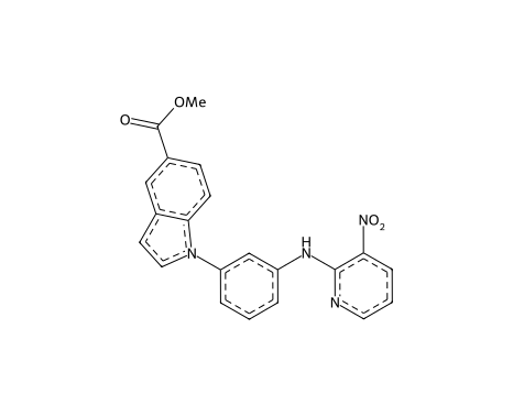 COC(=O)c1ccc2c(ccn2-c2cccc(Nc3ncccc3[N+](=O)[O-])c2)c1